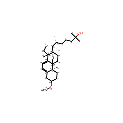 C[C@H](CCCC(C)(C)O)[C@H]1CC[C@H]2C3=CC=C4CC(OC=O)CC[C@]4(C)[C@H]3CC[C@]12C